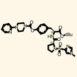 Cn1cnc(S(=O)(=O)N2CCC[C@H]2C(=O)N[C@@H](Cc2ccc(OC(=O)N3CCN(c4ccccn4)CC3)cc2)C(=O)OC(C)(C)C)c1